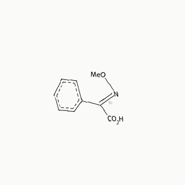 CO/N=C(/C(=O)O)c1ccccc1